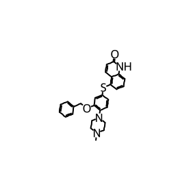 CN1CCN(c2ccc(Sc3cccc4[nH]c(=O)ccc34)cc2OCc2ccccc2)CC1